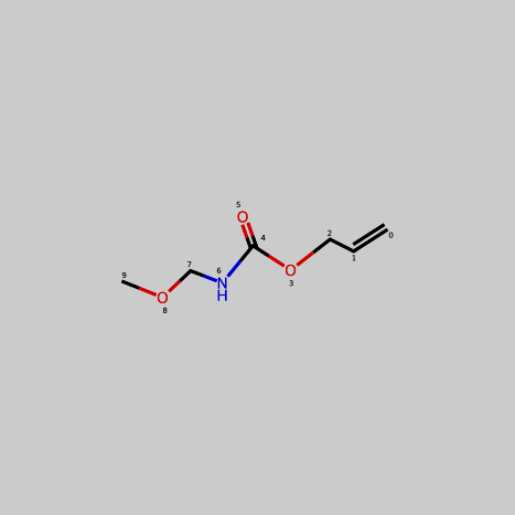 C=CCOC(=O)NCOC